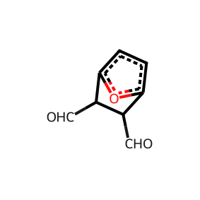 O=CC1c2ccc(o2)C1C=O